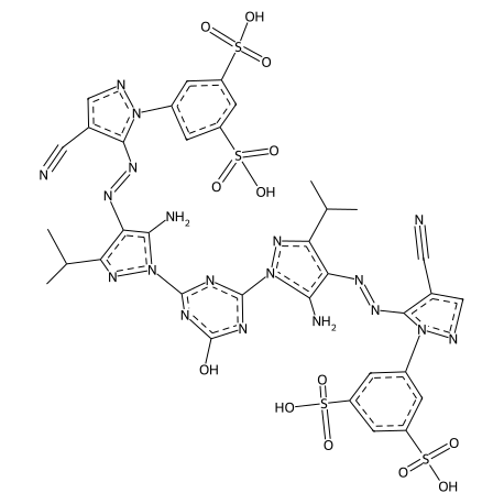 CC(C)c1nn(-c2nc(O)nc(-n3nc(C(C)C)c(N=Nc4c(C#N)cnn4-c4cc(S(=O)(=O)O)cc(S(=O)(=O)O)c4)c3N)n2)c(N)c1N=Nc1c(C#N)cnn1-c1cc(S(=O)(=O)O)cc(S(=O)(=O)O)c1